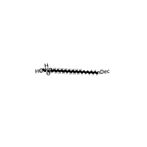 CCCCCCCCCCCCCCCCCCCCCCCCCCCCCCCCCCCOC(=O)NCCO